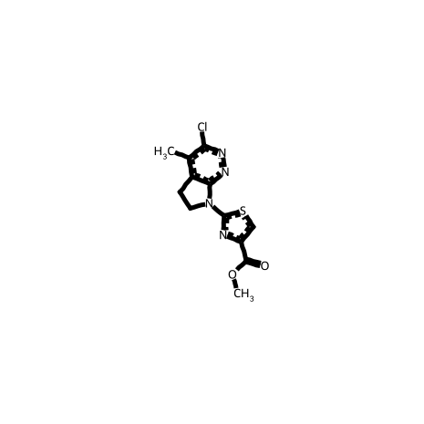 COC(=O)c1csc(N2CCc3c2nnc(Cl)c3C)n1